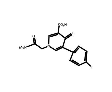 CNC(=O)Cn1cc(C(=O)O)c(=O)c(-c2ccc(F)cc2)c1